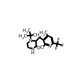 Cc1cc(C(F)(F)F)nc(Cl)c1CC1C(=O)NCCN1C(C)(C)C